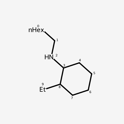 CCCCCCCNC1CCCCC1CC